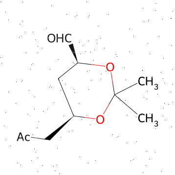 CC(=O)C[C@H]1C[C@@H](C=O)OC(C)(C)O1